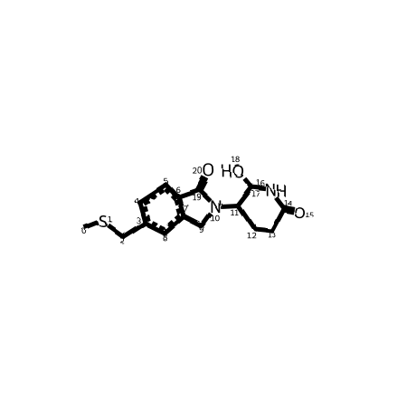 CSCc1ccc2c(c1)CN(C1CCC(=O)NC1O)C2=O